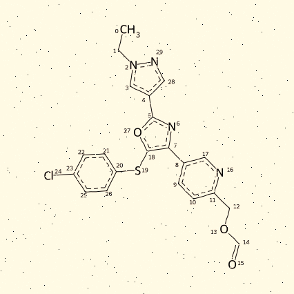 CCn1cc(-c2nc(-c3ccc(COC=O)nc3)c(Sc3ccc(Cl)cc3)o2)cn1